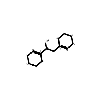 OC(CC1=CCCCC1)C1=CCCCC1